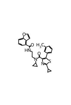 Cc1cccc(-c2sc(C3CC3)nc2C(=O)N(CCNC(=O)c2cccc3occc23)C2CC2)c1